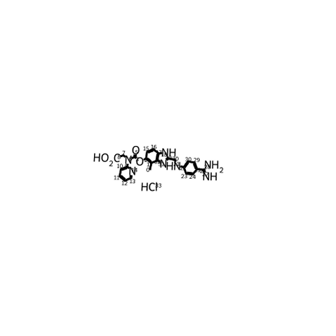 Cc1c(OC(=O)N(CC(=O)O)c2ccccn2)ccc2[nH]c(CNc3ccc(C(=N)N)cc3)nc12.Cl